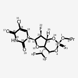 CC(C)OP1(=S)OC[C@@]2(C(F)F)O[C@@H](n3cc(Cl)c(=O)[nH]c3=O)[C@@H](F)[C@@H]2O1